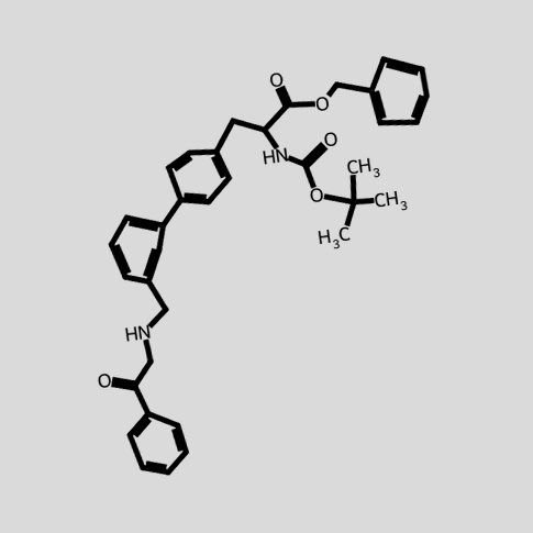 CC(C)(C)OC(=O)NC(Cc1ccc(-c2cccc(CNCC(=O)c3ccccc3)c2)cc1)C(=O)OCc1ccccc1